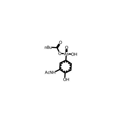 CCCCC(=O)O[As](=O)(O)c1ccc(O)c(NC(C)=O)c1